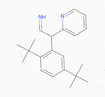 CC(C)(C)c1ccc(C(C)(C)C)c(C(C=N)c2ccccn2)c1